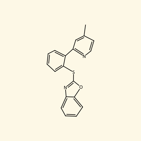 Cc1ccnc(-c2ccccc2Sc2nc3ccccc3o2)c1